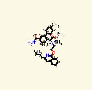 CCCCc1cc2ccccc2c(OCC[N+](C)(C)[C@@H](C(=O)OC)c2ccc(C(N)=O)cc2-c2ccc(C)cc2)n1